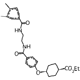 CCOC(=O)[C@H]1CC[C@@H](Oc2ccc(C(=O)NCCNC(=O)c3ccc(C)c(C)c3)cc2)CC1